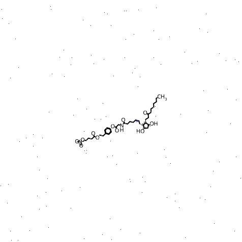 CCCCCCCC(=O)CC[C@@H]1[C@@H](C/C=C\CCCC(=O)NCC(=O)Oc2ccc(CCOC(=O)CCCO[N+](=O)[O-])cc2)[C@@H](O)C[C@H]1O